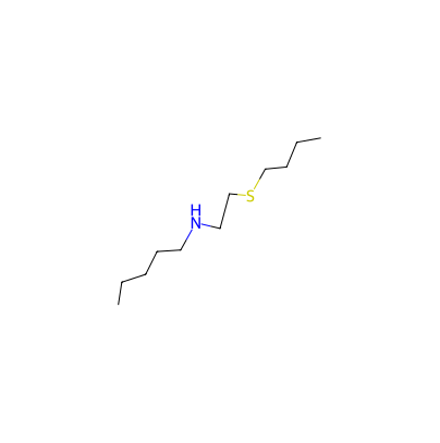 CCCCCNCCSCCCC